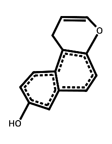 Oc1ccc2c3c(ccc2c1)OC=CC3